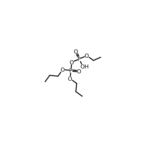 CCCOP(=O)(OCCC)OP(=O)(O)OCC